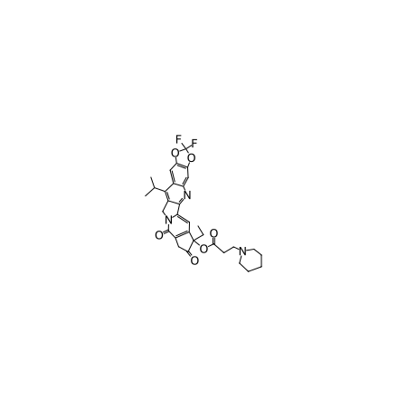 CCC1(OC(=O)CCN2CCCCC2)C(=O)Cc2c1cc1n(c2=O)Cc2c-1nc1cc3c(cc1c2C(C)C)OC(F)(F)O3